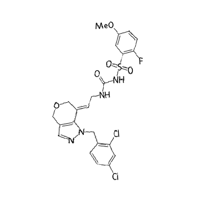 COc1ccc(F)c(S(=O)(=O)NC(=O)NC/C=C2\COCc3cnn(Cc4ccc(Cl)cc4Cl)c32)c1